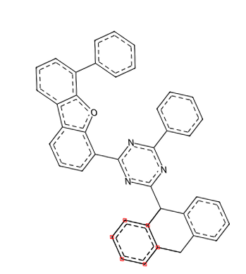 c1ccc(-c2nc(-c3cccc4c3oc3c(-c5ccccc5)cccc34)nc(C34c5ccccc5C(c5ccccc53)c3ccccc34)n2)cc1